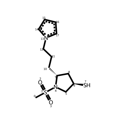 CS(=O)(=O)N1C[C@H](S)C[C@H]1CCCn1cccc1